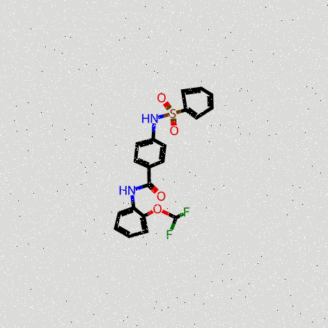 O=C(Nc1ccccc1OC(F)F)c1ccc(NS(=O)(=O)c2ccccc2)cc1